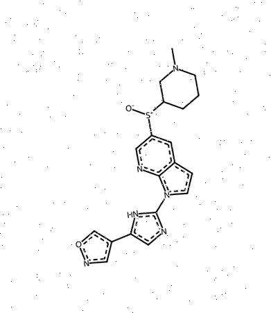 CN1CCCC([S+]([O-])c2cnc3c(ccn3-c3ncc(-c4cnoc4)[nH]3)c2)C1